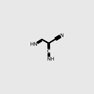 N#CC(=C=N)C=N